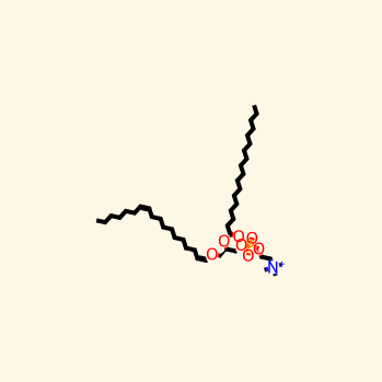 CCCCCC/C=C\CCCCCCCC/C=C\OC[C@H](COP(=O)([O-])OCC[N+](C)(C)C)OC(=O)CCCCCCCCCCCCCCCCC